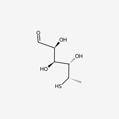 C[C@H](S)[C@@H](O)[C@@H](O)[C@H](O)C=O